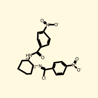 O=C(N[C@@H]1CCCC[C@H]1N=C(Cl)c1ccc([N+](=O)[O-])cc1)c1ccc([N+](=O)[O-])cc1